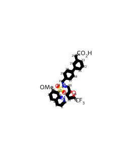 COc1ccc2cccnc2c1S(=O)(=O)N(Cc1ccc(-c2cccc(CC(=O)O)c2)cc1)Cc1ccc(C(F)(F)F)o1